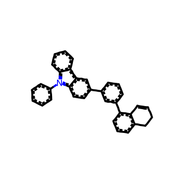 C1=Cc2c(cccc2-c2cccc(-c3ccc4c(c3)c3ccccc3n4-c3ccccc3)c2)CC1